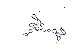 c1ccc(-c2ccc(N(c3ccc(-c4ccc(-c5ccc(-c6ccc7c(c6)c6ccccc6n7-c6ccccc6)cc5)cc4)cc3)c3cccc4c3oc3c(-c5ccccc5)cc5ccccc5c34)cc2)cc1